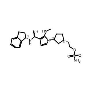 CNc1c(C(=N)N[C@H]2CCc3ccccc32)ccn1[C@H]1CC[C@H](CCOS(N)(=O)=O)C1